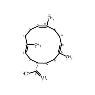 C=C(C)[C@@H]1C/C=C(\C)CC/C=C(/C)CC/C=C(/C)CC1